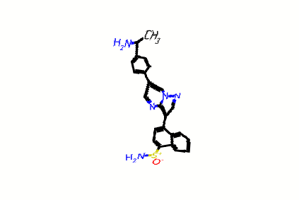 CC(N)c1ccc(-c2cnc3c(-c4ccc([S+](N)[O-])c5ccccc45)cnn3c2)cc1